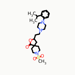 CC(C)c1ccccc1N1CCN(CCC2CC3(CCN(S(C)(=O)=O)CC3)C(=O)O2)CC1